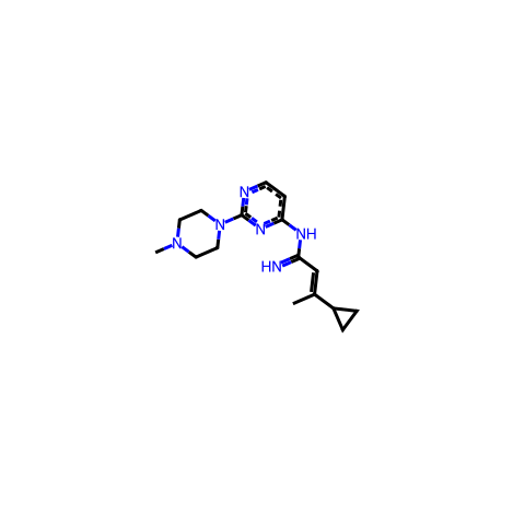 C/C(=C\C(=N)Nc1ccnc(N2CCN(C)CC2)n1)C1CC1